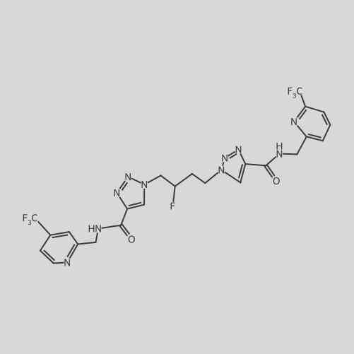 O=C(NCc1cccc(C(F)(F)F)n1)c1cn(CCC(F)Cn2cc(C(=O)NCc3cc(C(F)(F)F)ccn3)nn2)nn1